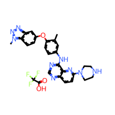 Cc1cc(Nc2ncnc3ccc(N4CCNCC4)nc23)ccc1Oc1ccc2c(c1)nnn2C.O=C(O)C(F)(F)F